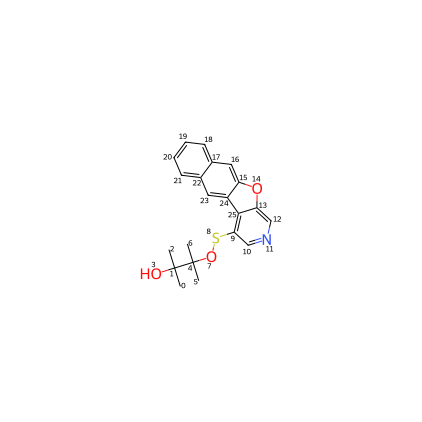 CC(C)(O)C(C)(C)OSc1cncc2oc3cc4ccccc4cc3c12